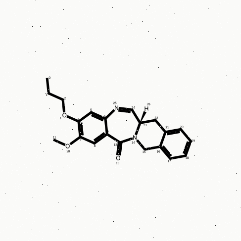 CCCOc1cc2c(cc1OC)C(=O)N1Cc3ccccc3C[C@H]1C=N2